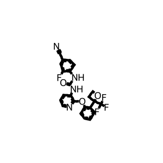 N#Cc1ccc(NC(=O)Nc2cccnc2Oc2ccccc2C2(C(F)(F)F)CCO2)c(F)c1